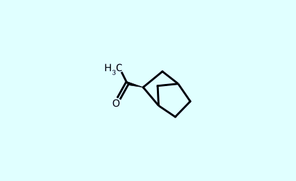 CC(=O)[C@H]1CC2CCC1C2